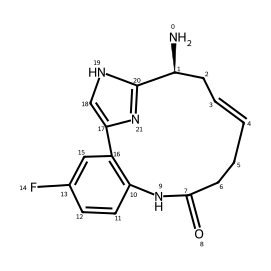 N[C@H]1C/C=C/CCC(=O)Nc2ccc(F)cc2-c2c[nH]c1n2